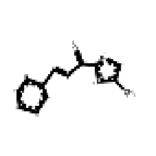 Cc1c[nH]c(C(=O)C=Cc2ccccc2)n1